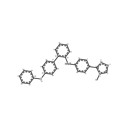 Cn1cnnc1-c1ccc(Nc2ccccc2-c2ccc(Oc3ccccc3)cc2)cc1